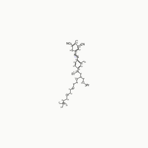 CCN(CC(COC(C)C)OCCOCCOCC[N+](C)(C)C)c1ccc(/N=N/C2=C=C(C#N)C(C)=C(C#N)S2)c(C)c1